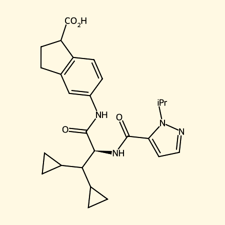 CC(C)n1nccc1C(=O)N[C@H](C(=O)Nc1ccc2c(c1)CCC2C(=O)O)C(C1CC1)C1CC1